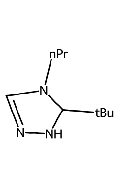 CCCN1C=NNC1C(C)(C)C